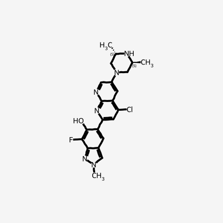 C[C@H]1CN(c2cnc3nc(-c4cc5cn(C)nc5c(F)c4O)cc(Cl)c3c2)C[C@H](C)N1